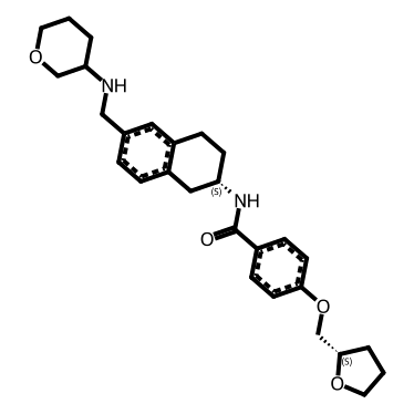 O=C(N[C@H]1CCc2cc(CNC3CCCOC3)ccc2C1)c1ccc(OC[C@@H]2CCCO2)cc1